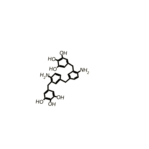 Nc1ccc(Cc2ccc(N)c(Cc3cc(O)c(O)c(O)c3)c2)cc1Cc1cc(O)c(O)c(O)c1